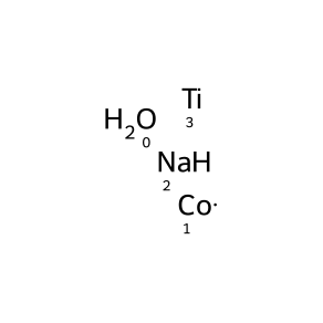 O.[Co].[NaH].[Ti]